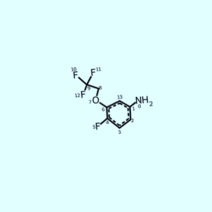 Nc1ccc(F)c(OCC(F)(F)F)c1